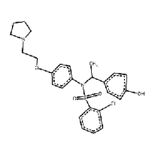 CC(c1ccc(O)cc1)N(c1ccc(OCCN2CCCC2)cc1)S(=O)(=O)c1ccccc1Cl